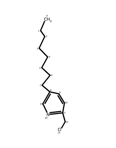 CCCCCCCCc1ccc(CCl)nc1